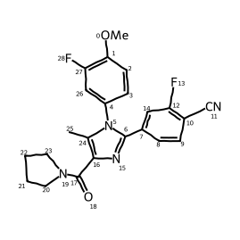 COc1ccc(-n2c(-c3ccc(C#N)c(F)c3)nc(C(=O)N3CCCC3)c2C)cc1F